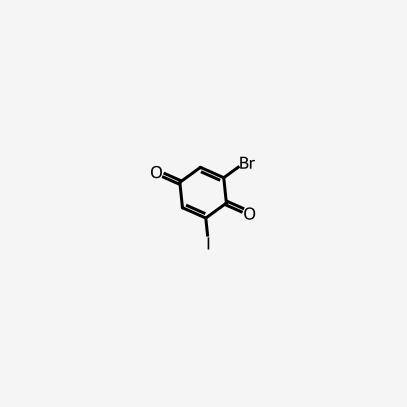 O=C1C=C(Br)C(=O)C(I)=C1